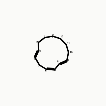 [CH]1CC/C=C/C/C=C\C=C\CCC1